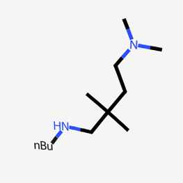 CCCCNCC(C)(C)CCN(C)C